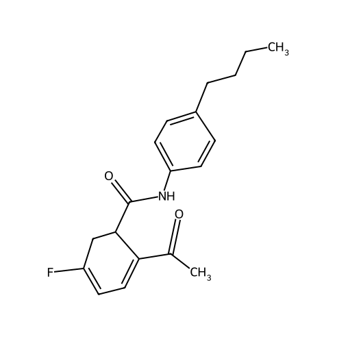 CCCCc1ccc(NC(=O)C2CC(F)=CC=C2C(C)=O)cc1